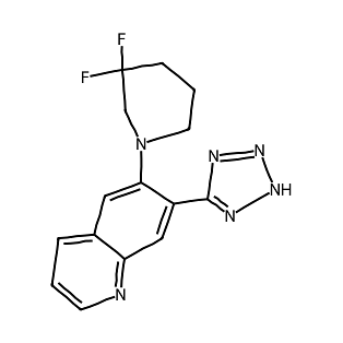 FC1(F)CCCN(c2cc3cccnc3cc2-c2nn[nH]n2)C1